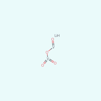 [LiH].[O]=[V][O][V](=[O])=[O]